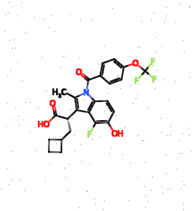 Cc1c([C@H](CC2CCC2)C(=O)O)c2c(F)c(O)ccc2n1C(=O)c1ccc(OC(F)(F)F)cc1